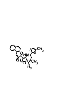 Cc1cnc(C2CC(C)(C)n3ncc(C(=O)N(C)Cc4cccc5ccccc45)c3N2)s1